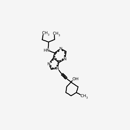 CCC(CC)Nc1ncnc2c1ncn2C#CC1(O)CCCC(C)C1